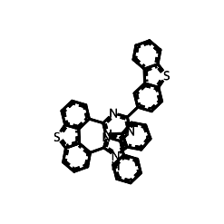 c1ccc(-c2nc(-c3ccc4sc5ccccc5c4c3)nc(-c3cccc4sc5cccc(-c6nc7ccccc7[nH]6)c5c34)n2)cc1